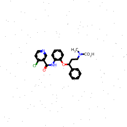 CN(CCC(Oc1ccccc1NC(=O)c1cnccc1Cl)c1ccccc1)C(=O)O